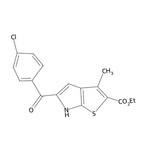 CCOC(=O)c1sc2[nH]c(C(=O)c3ccc(Cl)cc3)cc2c1C